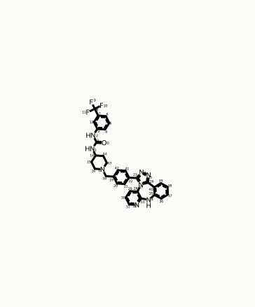 O=C(Nc1cccc(C(F)(F)F)c1)NC1CCN(Cc2ccc(-c3nnc4n3-c3cccnc3Nc3ccccc3-4)cc2)CC1